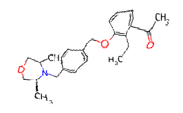 CCc1c(OCc2ccc(CN3C(C)COC[C@@H]3C)cc2)cccc1C(C)=O